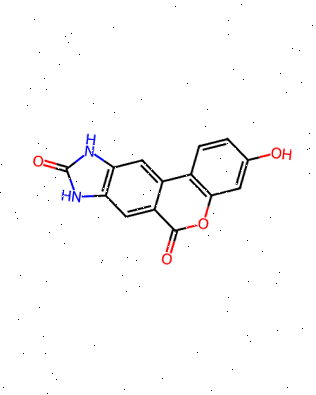 O=c1[nH]c2cc3c(=O)oc4cc(O)ccc4c3cc2[nH]1